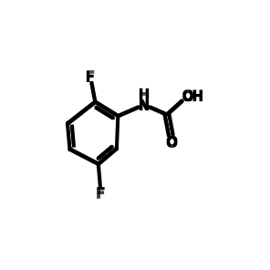 O=C(O)Nc1cc(F)ccc1F